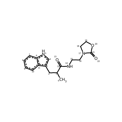 CC(Cc1c[nH]c2ccccc12)C(=O)NCCN1CCOC1=O